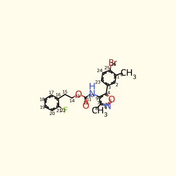 Cc1cc(-c2onc(C)c2NC(=O)OCCc2ccccc2F)ccc1Br